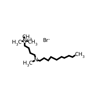 CCCCCCCCCCN(C)CCCC[N+](C)(C)C.[Br-]